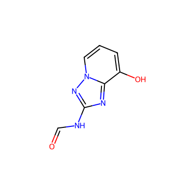 O=CNc1nc2c(O)cccn2n1